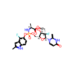 C=C1NC(=O)C=CN1[C@@H]1O[C@H](COP(=O)(N[C@@H](C)C(=O)OC(C)C)Oc2ccc3[nH]c(C)cc3c2F)[C@@H](O)[C@@]1(C)F